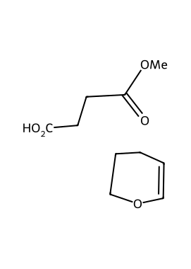 C1=COCCC1.COC(=O)CCC(=O)O